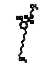 CCCCCCCCCc1ccc(O)c(S(=O)(=O)OCCC)c1